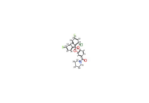 O=C(c1ccc2c(c1)OC(c1ccc(F)cc1)(c1ccc(F)cc1Cl)O2)N1CCCCC1